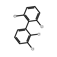 Clc1[c]ccc(Cl)c1-c1cccc(Cl)c1Cl